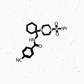 CCCS(=O)(=O)N1CCN(C2(CNC(=O)c3ccc(C#N)cc3)CCCCC2)CC1